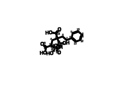 O=C(O)C(CC(CCc1ccncc1)(C(=O)O)P(=O)(O)O)P(=O)(O)O